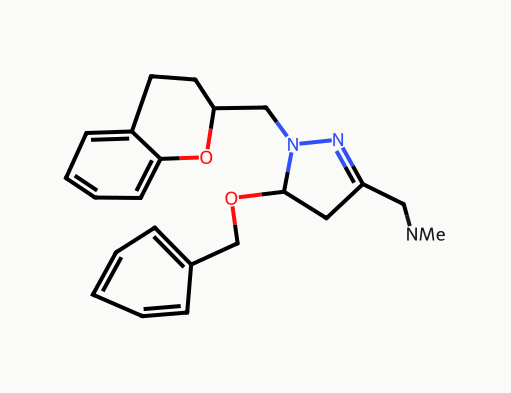 CNCC1=NN(CC2CCc3ccccc3O2)C(OCc2ccccc2)C1